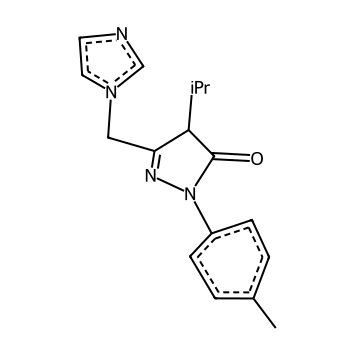 Cc1ccc(N2N=C(Cn3ccnc3)C(C(C)C)C2=O)cc1